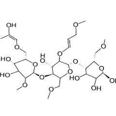 COC/C=C/OC1[C@H](O[C@H]2C(O)C(O)[C@H](O)O[C@H]2COC)OC(COC)[C@@H](O[C@@H]2O[C@@H](CO/C=C(\C)O)[C@@H](O)C(O)C2OC)[C@@H]1O